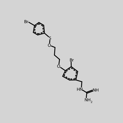 N=C(N)NCc1ccc(OCCCOSc2ccc(Br)cc2)c(Br)c1